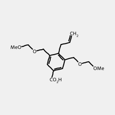 C=CCc1c(COCOC)cc(C(=O)O)cc1COCOC